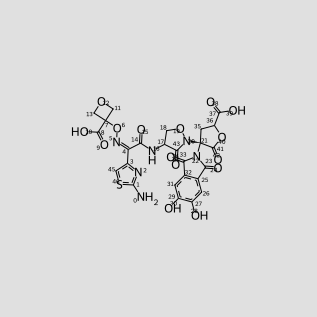 Nc1nc(/C(=N/OC2(C(=O)O)COC2)C(=O)NC2CON([C@@]3(N4C(=O)c5cc(O)c(O)cc5C4=O)CC(C(=O)O)OC3=O)C2=O)cs1